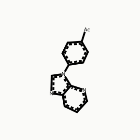 CC(=O)c1ccc(-n2cnc3cccnc32)cc1